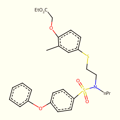 CCCN(CCSc1ccc(OCC(=O)OCC)c(C)c1)S(=O)(=O)c1ccc(Oc2ccccc2)cc1